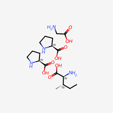 CC[C@H](C)[C@H](N)C(=O)O.NCC(=O)O.O=C(O)[C@@H]1CCCN1.O=C(O)[C@@H]1CCCN1